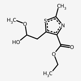 CCOC(=O)c1nc(C)sc1CC(O)OC